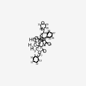 CC1(C)[C@H](C(=O)OCc2ccccc2)N2C(=O)C[C@H]2[S@@]1(CO)C(=O)N(CCN1CCOCC1)Cc1ccccc1